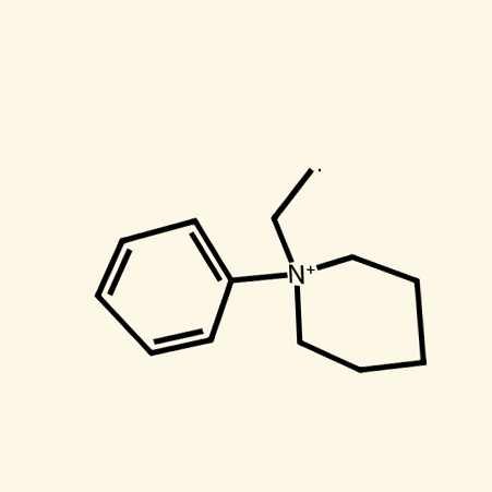 [CH2]C[N+]1(c2ccccc2)CCCCC1